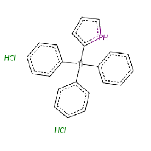 Cl.Cl.c1cc[c]([Ti]([c]2ccccc2)([c]2ccccc2)[c]2ccc[pH]2)cc1